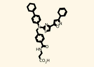 O=C(O)CCNC(=O)c1ccc(CN(c2ccc(C3=CCCCC3)cc2)c2nc(-c3cc(C4C=CC=CC4)no3)cs2)cc1